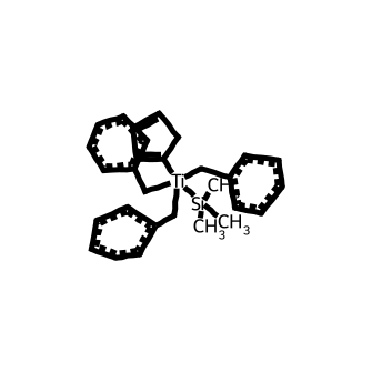 C[Si](C)(C)[Ti]([CH2]c1ccccc1)([CH2]c1ccccc1)([CH2]c1ccccc1)[C]1=CC=CC1